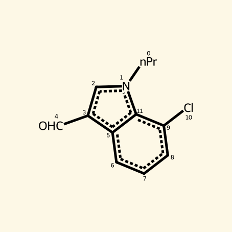 CCCn1cc(C=O)c2cccc(Cl)c21